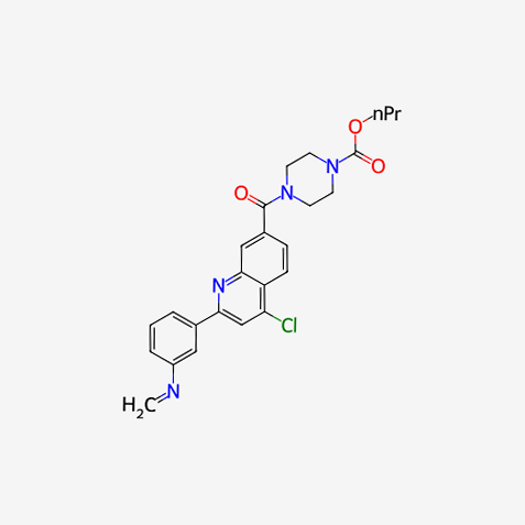 C=Nc1cccc(-c2cc(Cl)c3ccc(C(=O)N4CCN(C(=O)OCCC)CC4)cc3n2)c1